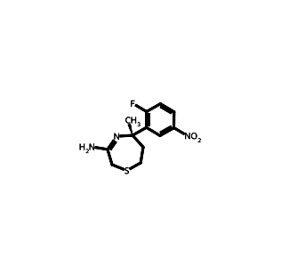 C[C@@]1(c2cc([N+](=O)[O-])ccc2F)CCSCC(N)=N1